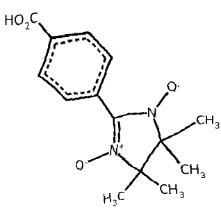 CC1(C)N([O])C(c2ccc(C(=O)O)cc2)=[N+]([O-])C1(C)C